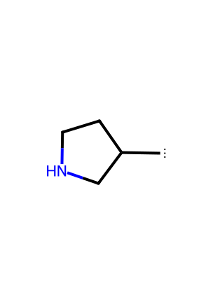 [C]C1CCNC1